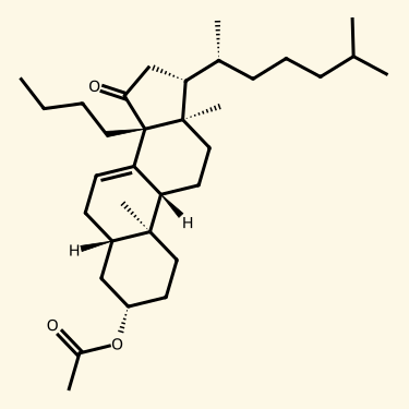 CCCC[C@@]12C(=O)C[C@H]([C@H](C)CCCC(C)C)[C@@]1(C)CC[C@H]1C2=CC[C@H]2C[C@@H](OC(C)=O)CC[C@@]21C